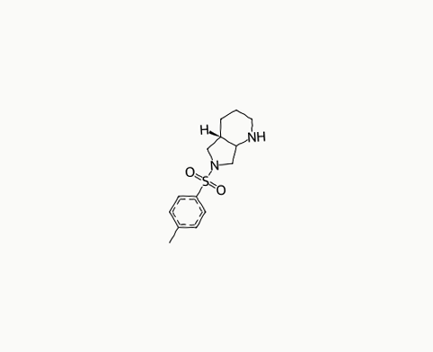 Cc1ccc(S(=O)(=O)N2CC3NCCC[C@H]3C2)cc1